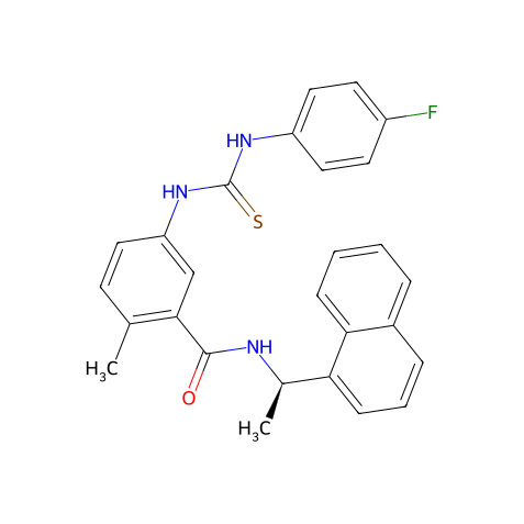 Cc1ccc(NC(=S)Nc2ccc(F)cc2)cc1C(=O)N[C@H](C)c1cccc2ccccc12